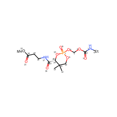 [CH2]CNC(=O)OCOP1(=O)OCC(C)(C)[C@H](C(=O)NCCC(=O)OC)O1